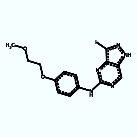 COCCOc1ccc(Nc2ncc3[nH]nc(I)c3n2)cc1